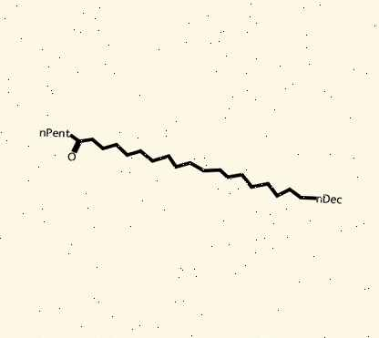 CCCCCCCCCCCCCCCCCCCCCCCCCCCCC(=O)CCCCC